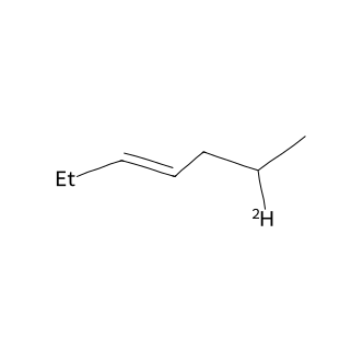 [2H]C(C)CC=CCC